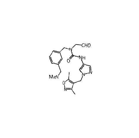 CNCc1cccc(CN(CC=O)C(=O)Nc2cnn(Cc3c(C)noc3C)c2)c1